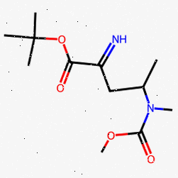 COC(=O)N(C)C(C)CC(=N)C(=O)OC(C)(C)C